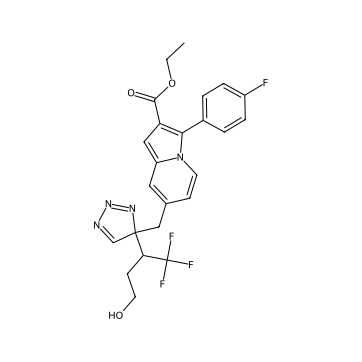 CCOC(=O)c1cc2cc(CC3(C(CCO)C(F)(F)F)C=NN=N3)ccn2c1-c1ccc(F)cc1